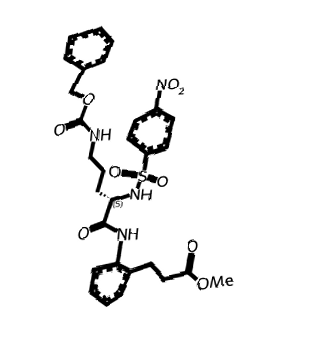 COC(=O)CCc1ccccc1NC(=O)[C@H](CCCNC(=O)OCc1ccccc1)NS(=O)(=O)c1ccc([N+](=O)[O-])cc1